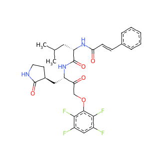 CC(C)C[C@H](NC(=O)/C=C/c1ccccc1)C(=O)N[C@@H](C[C@@H]1CCNC1=O)C(=O)COc1c(F)c(F)cc(F)c1F